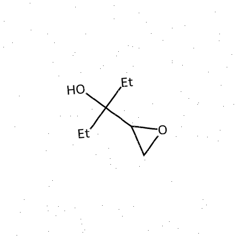 CCC(O)(CC)C1CO1